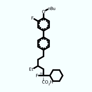 CCCCOc1ccc(-c2ccc(CCC(CC)C[C@@](F)(C(=O)O)C3CCCCC3)cc2)cc1F